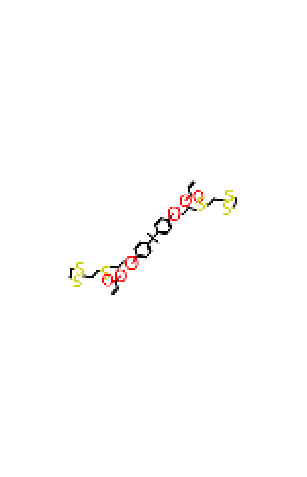 C=CC(=O)OC(COc1ccc(C(C)(C)c2ccc(OCC(CSCCC3SCCS3)OC(=O)C=C)cc2)cc1)CSCCC1SCCS1